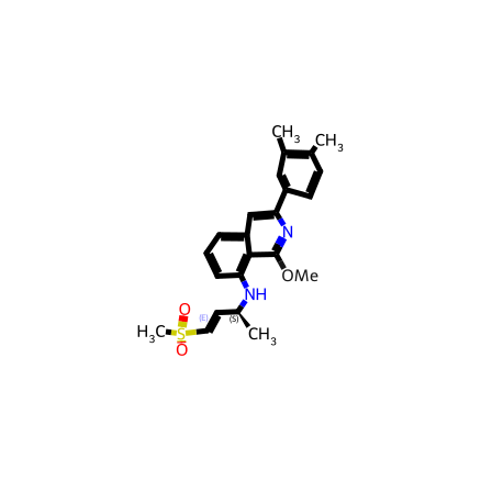 COc1nc(-c2ccc(C)c(C)c2)cc2cccc(N[C@@H](C)/C=C/S(C)(=O)=O)c12